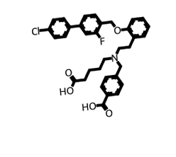 O=C(O)CCCCN(CCc1ccccc1OCc1ccc(-c2ccc(Cl)cc2)cc1F)Cc1ccc(C(=O)O)cc1